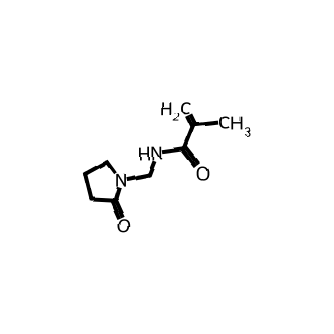 C=C(C)C(=O)NCN1CCCC1=O